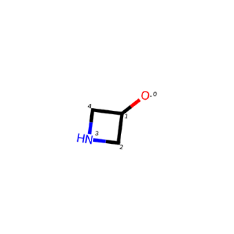 [O]C1CNC1